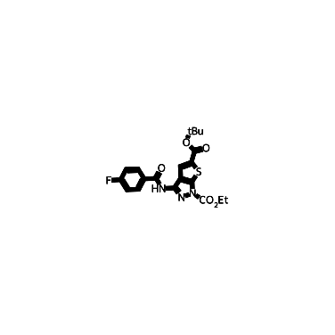 CCOC(=O)n1nc(NC(=O)c2ccc(F)cc2)c2cc(C(=O)OC(C)(C)C)sc21